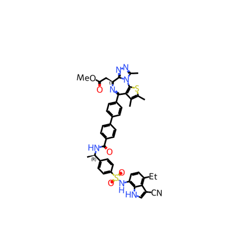 CCc1ccc(NS(=O)(=O)c2ccc([C@@H](C)NC(=O)c3ccc(-c4ccc(C5=N[C@@H](CC(=O)OC)c6nnc(C)n6-c6sc(C)c(C)c65)cc4)cc3)cc2)c2[nH]cc(C#N)c12